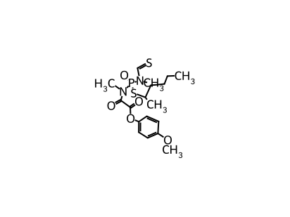 CCCCC(C)SP(=O)(N(C)C=S)N(C)C(=O)C(=O)Oc1ccc(OC)cc1